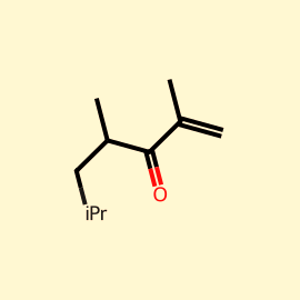 C=C(C)C(=O)C(C)CC(C)C